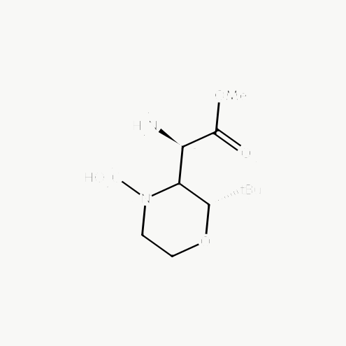 COC(=O)[C@H](N)C1[C@H](C(C)(C)C)OCCN1C(=O)O